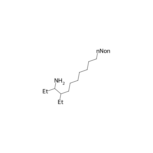 CCCCCCCCCCCCCCCCC(CC)C(N)CC